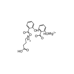 NCCCC(=O)O.O=C([O-])c1ccccc1O.O=C([O-])c1ccccc1O.[Mg+2]